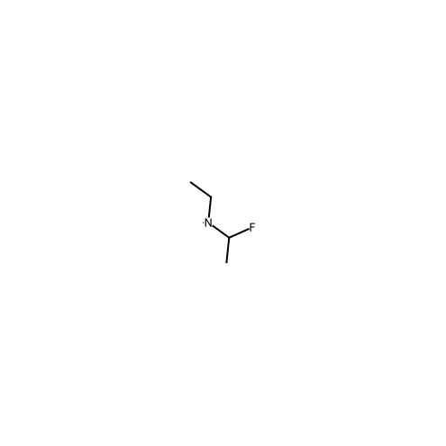 CC[N]C(C)F